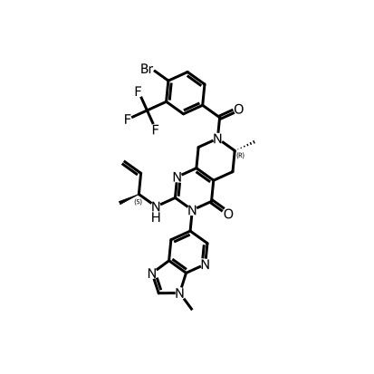 C=C[C@H](C)Nc1nc2c(c(=O)n1-c1cnc3c(c1)ncn3C)C[C@@H](C)N(C(=O)c1ccc(Br)c(C(F)(F)F)c1)C2